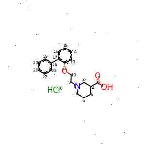 Cl.O=C(O)C1CCCN(CCOc2ccccc2-c2ccccc2)C1